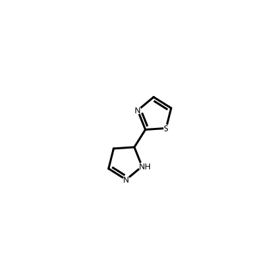 C1=NNC(c2nccs2)C1